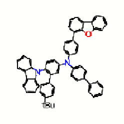 CC(C)(C)c1ccc(-c2cc(N(c3ccc(-c4ccccc4)cc3)c3ccc(-c4cccc5c4oc4ccccc45)cc3)ccc2-n2c3ccccc3c3ccccc32)cc1